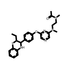 CCC1Sc2ccccc2NC1c1ccc(Oc2cncc(N(C)CCN(C)C(C)=O)n2)cc1